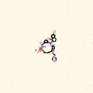 C[C@H]1C/C=C\[C@H](OCCN2CCOCC2)[C@@H]2CC[C@H]2CN2C[C@@]3(CCCc4cc(Cl)ccc43)COc3ccc(cc32)C(=O)NS(=O)(=O)[C@H]1CC(F)(F)F